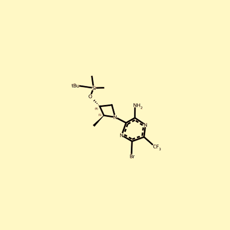 C[C@H]1[C@H](O[Si](C)(C)C(C)(C)C)CN1c1nc(Br)c(C(F)(F)F)nc1N